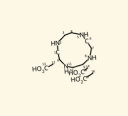 C1CNCCNCCNCCN1.CC(=O)O.CC(=O)O.CC(=O)O